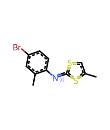 Cc1cs/c(=N\c2ccc(Br)cc2C)s1